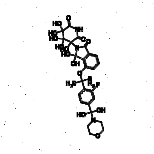 BC(B)(Oc1cccc2c1C(O)(O)N(C1(O)C(=O)NC(=O)C(O)(O)C1(O)O)C2=O)c1ccc(C(O)(O)N2CCOCC2)cc1F